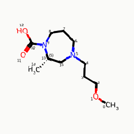 COCCCN1CCCN(C(=O)O)[C@@H](C)C1